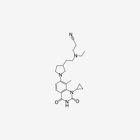 CCN(CCC#N)CCC1CCN(c2ccc3c(=O)[nH]c(=O)n(C4CC4)c3c2C)C1